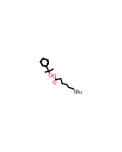 CC(C)(C)CCCCCC(=O)OOC(C)(C)c1ccccc1